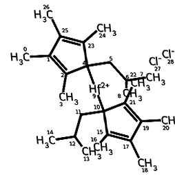 CC1=C(C)[C](CC(C)C)([Hf+2][C]2(CC(C)C)C(C)=C(C)C(C)=C2C)C(C)=C1C.[Cl-].[Cl-]